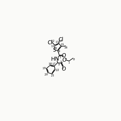 CCOC(=O)C(NC(=O)c1sc(Cl)c(Cl)c1C)c1ccccc1